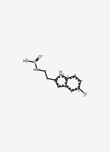 O=S(O)NCCc1cc2cc(Cl)ccc2[nH]1